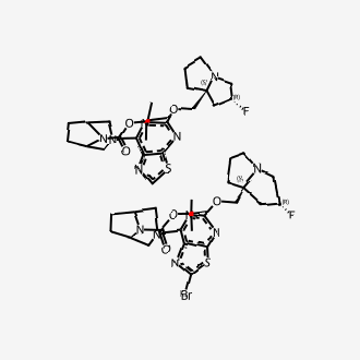 CC(C)(C)OC(=O)N1C2CCC1CN(c1nc(OC[C@@]34CCCN3C[C@H](F)C4)nc3sc(Br)nc13)C2.CC(C)(C)OC(=O)N1C2CCC1CN(c1nc(OC[C@@]34CCCN3C[C@H](F)C4)nc3scnc13)C2